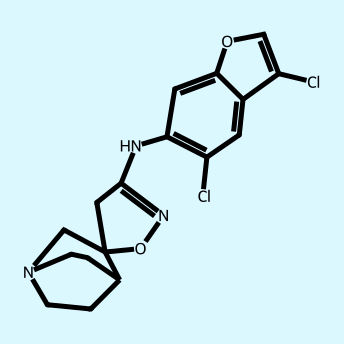 Clc1cc2c(Cl)coc2cc1NC1=NOC2(C1)CN1CCC2CC1